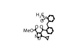 COC(=O)c1noc(C2CC2)c1C(=O)c1ccccc1Cc1ccccc1[S+](C)[O-]